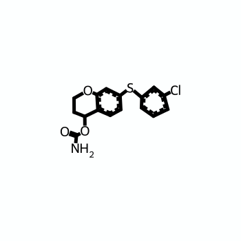 NC(=O)OC1CCOc2cc(Sc3cccc(Cl)c3)ccc21